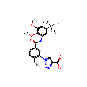 COc1cc(C(C)(C)C)cc(NC(=O)c2ccc(C)c(-n3cc(C(=O)O)nn3)c2)c1OC